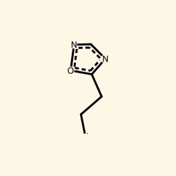 [CH2]CCc1ncno1